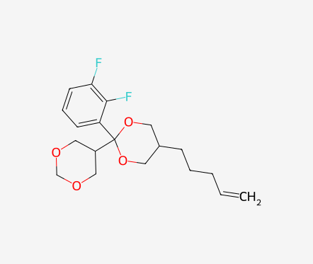 C=CCCCC1COC(c2cccc(F)c2F)(C2COCOC2)OC1